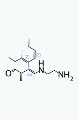 C=C(C=O)C(=C/NCCN)/C(/C=C\CC)=C(/C)CC